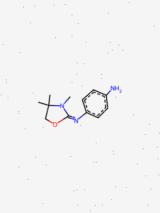 CN1/C(=N\c2ccc(N)cc2)OCC1(C)C